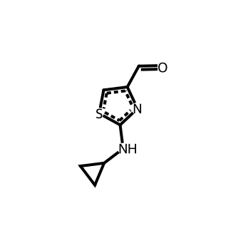 O=Cc1csc(NC2CC2)n1